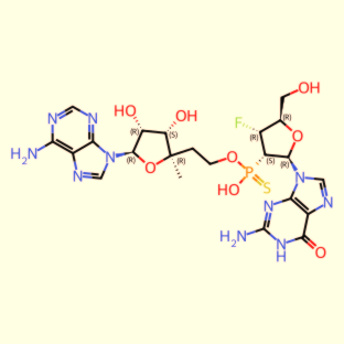 C[C@]1(CCOP(O)(=S)[C@@H]2[C@H](F)[C@@H](CO)O[C@H]2n2cnc3c(=O)[nH]c(N)nc32)O[C@@H](n2cnc3c(N)ncnc32)[C@H](O)[C@@H]1O